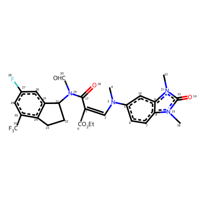 CCOC(=O)/C(=C/N(C)c1ccc2c(c1)n(C)c(=O)n2C)C(=O)N(C=O)C1CCc2c1cc(F)cc2C(F)(F)F